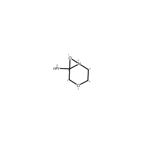 CCCC12COCCN1O2